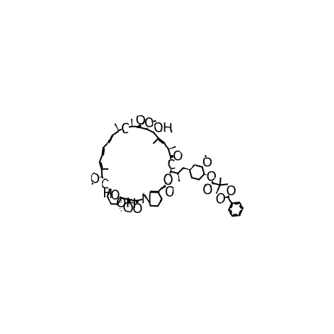 CO[C@H]1C[C@@H]2CC[C@@H](C)[C@@](O)(O2)C(=O)C(=O)N2CCCC(C2)C(=O)O[C@H]([C@H](C)C[C@@H]2CC[C@@H](OC(=O)C3(C)COC(c4ccccc4)OC3)[C@H](OC)C2)CC(=O)[C@H](C)/C=C(\C)[C@@H](O)[C@@H](OC)C(=O)[C@H](C)C[C@H](C)/C=C/C=C/C=C/1C